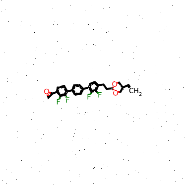 C=CC1COC(CCc2ccc(-c3ccc(-c4ccc(C5CO5)c(F)c4F)cc3)c(F)c2F)OC1